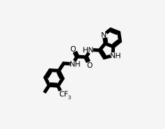 Cc1ccc(CNC(=O)C(=O)Nc2c[nH]c3cccnc23)cc1C(F)(F)F